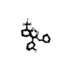 Fc1cccc(-c2c(Cc3ccccc3)nnc3c(C(F)(F)F)cccc23)c1